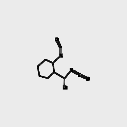 CCC(N=C=O)C1CCCCC1N=C=O